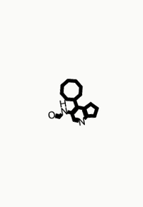 O=CNc1cnc2c(c1C1CCCCCCC1)CCC2